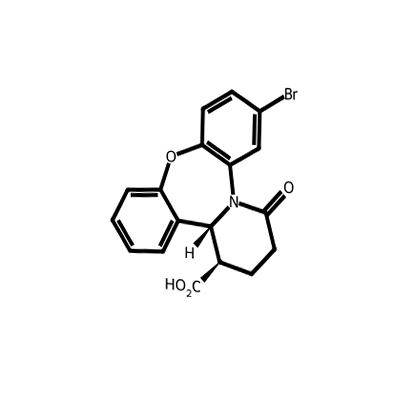 O=C(O)[C@@H]1CCC(=O)N2c3cc(Br)ccc3Oc3ccccc3[C@@H]12